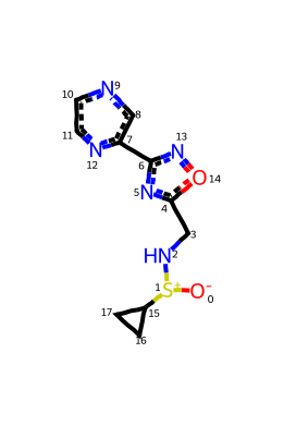 [O-][S+](NCc1nc(-c2cnccn2)no1)C1CC1